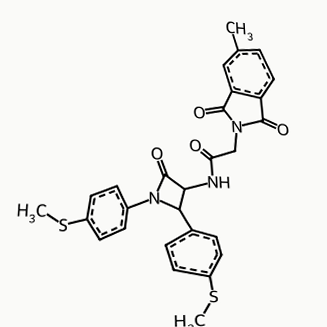 CSc1ccc(C2C(NC(=O)CN3C(=O)c4ccc(C)cc4C3=O)C(=O)N2c2ccc(SC)cc2)cc1